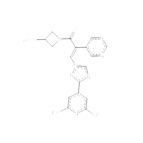 O=C(O)C1CN(C(=O)/C(=C/n2cnc(-c3cc(C(F)(F)F)nc(C(F)(F)F)c3)n2)c2cncnc2)C1